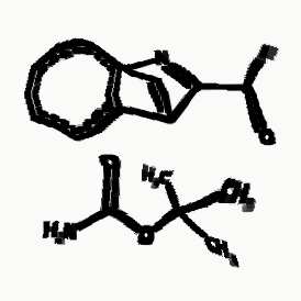 CC(C)(C)OC(N)=O.O=C(F)C1=Nc2c3cccc2C1=C3